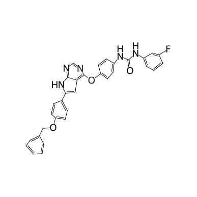 O=C(Nc1ccc(Oc2ncnc3[nH]c(-c4ccc(OCc5ccccc5)cc4)cc23)cc1)Nc1cccc(F)c1